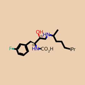 CC(C)CCCC(C)NC[C@H](O)[C@H](Cc1cccc(F)c1)NC(=O)O